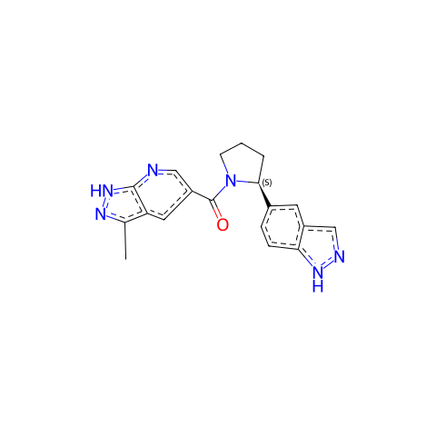 Cc1n[nH]c2ncc(C(=O)N3CCC[C@H]3c3ccc4[nH]ncc4c3)cc12